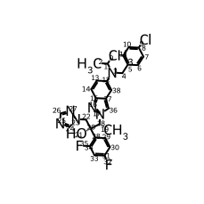 CC(C)N(Cc1ccc(Cl)cc1)c1ccc2nn([C@H](C)[C@](O)(Cn3cncn3)c3ccc(F)cc3F)cc2c1